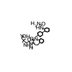 C[C@@H](O)CC(C)(C)C(N)C(=O)N[C@@H]1CCc2ccccc2N(Cc2ccc(-c3ccccc3NC(N)=O)cc2)C1=O